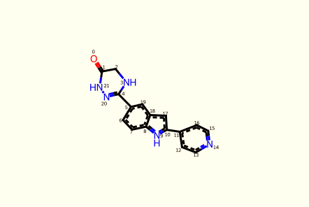 O=C1CNC(c2ccc3[nH]c(-c4ccncc4)cc3c2)=NN1